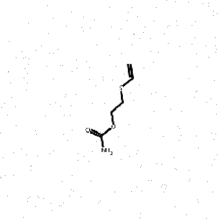 C=CSCCOC(N)=O